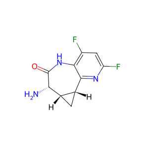 N[C@@H]1C(=O)Nc2c(F)cc(F)nc2[C@@H]2C[C@H]12